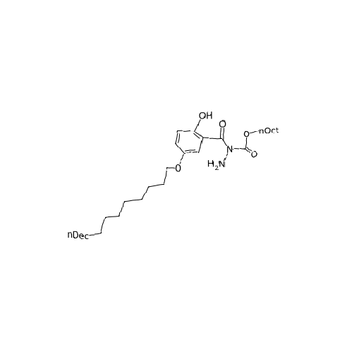 CCCCCCCCCCCCCCCCCCOc1ccc(O)c(C(=O)N(N)C(=O)OCCCCCCCC)c1